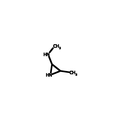 CNC1NC1C